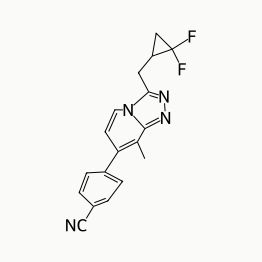 Cc1c(-c2ccc(C#N)cc2)ccn2c(CC3CC3(F)F)nnc12